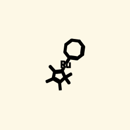 CC1=C(C)C(C)(C)[C]([Ru][C]2=CC=CCCCC2)=C1C